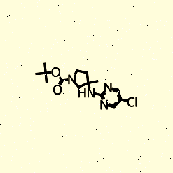 CC1(Nc2ncc(Cl)cn2)CCN(C(=O)OC(C)(C)C)C1